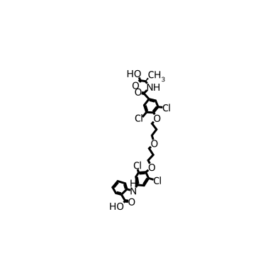 C[C@@H](NC(=O)c1cc(Cl)c(OCCCOCCCOc2c(Cl)cc(Nc3ccccc3C(=O)O)cc2Cl)c(Cl)c1)C(=O)O